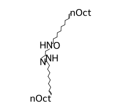 CCCCCCCCC=CCCCCCCCC(=O)NCCC1CN=C(CCCCCCCC=CCCCCCCCC)N1